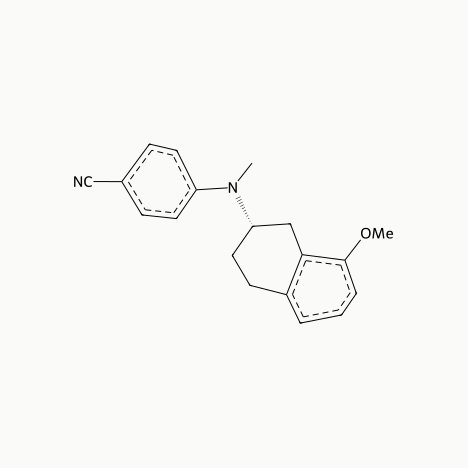 COc1cccc2c1C[C@@H](N(C)c1ccc(C#N)cc1)CC2